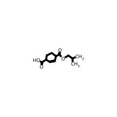 CC(C)COC(=O)C1C=CC(C(=O)O)CC1